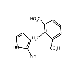 CCCc1ccc[nH]1.Cc1c(C(=O)O)cccc1C(=O)O